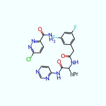 CCCC(NC(=O)Cc1cc(F)cc(F)c1)C(=O)Nc1ccncn1.NC(=O)c1ccc(Cl)nn1